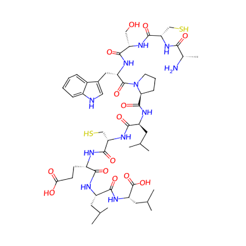 CC(C)C[C@H](NC(=O)[C@H](CC(C)C)NC(=O)[C@H](CCC(=O)O)NC(=O)[C@H](CS)NC(=O)[C@H](CC(C)C)NC(=O)[C@@H]1CCCN1C(=O)[C@H](Cc1c[nH]c2ccccc12)NC(=O)[C@H](CO)NC(=O)[C@H](CS)NC(=O)[C@H](C)N)C(=O)O